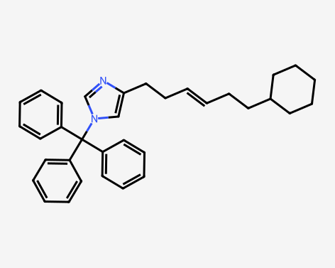 C(=CCCC1CCCCC1)CCc1cn(C(c2ccccc2)(c2ccccc2)c2ccccc2)cn1